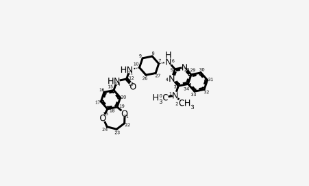 CN(C)c1nc(N[C@H]2CC[C@@H](NC(=O)Nc3ccc4c(c3)OCCCO4)CC2)nc2ccccc12